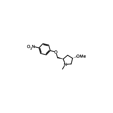 CO[C@H]1C[C@H](COc2ccc([N+](=O)[O-])cc2)N(C)C1